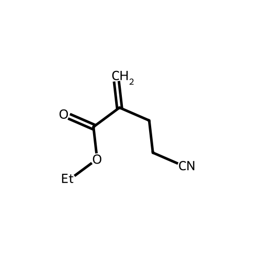 C=C(CCC#N)C(=O)OCC